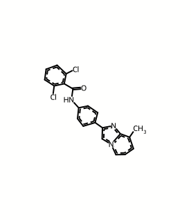 Cc1cccn2cc(-c3ccc(NC(=O)c4c(Cl)cccc4Cl)cc3)nc12